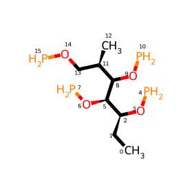 CC[C@H](OP)[C@@H](OP)C(OP)[C@H](C)COP